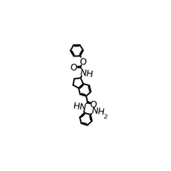 Nc1ccccc1NC(=O)c1ccc2c(c1)CCC2NC(=O)Oc1ccccc1